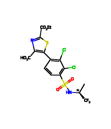 CCOC(=O)c1nc(C(=O)O)c(-c2ccc(S(=O)(=O)N[C@@H](C)C(F)(F)F)c(Cl)c2Cl)s1